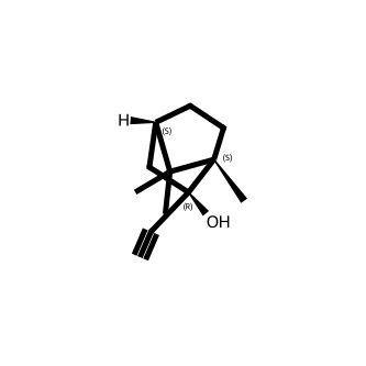 C#C[C@]1(O)C[C@@H]2CC[C@@]1(C)C2(C)C